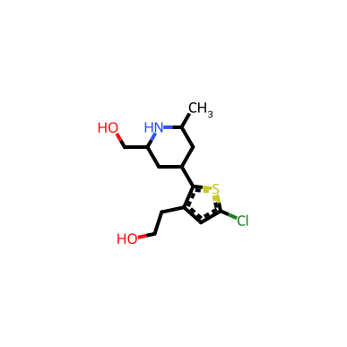 CC1CC(c2sc(Cl)cc2CCO)CC(CO)N1